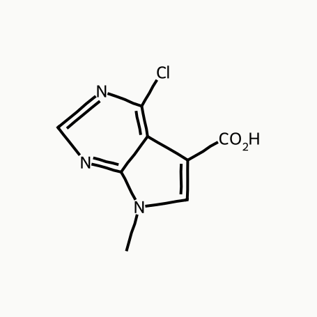 Cn1cc(C(=O)O)c2c(Cl)ncnc21